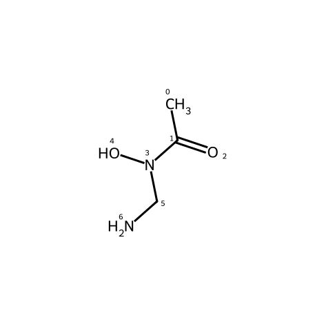 CC(=O)N(O)CN